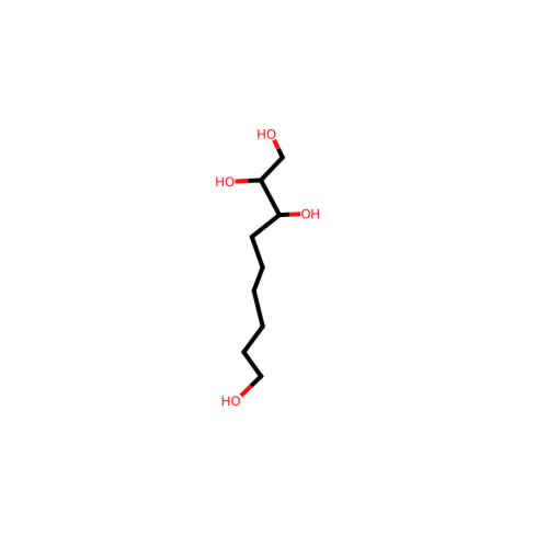 OCCCCCCC(O)C(O)CO